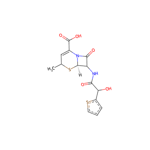 CC1C=C(C(=O)O)N2C(=O)C(NC(=O)C(O)c3cccs3)[C@H]2S1